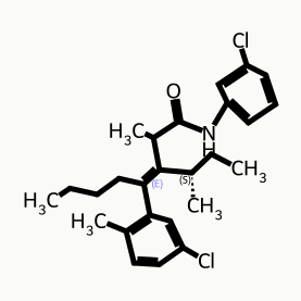 CCCC/C(=C(\C(C)C(=O)Nc1cccc(Cl)c1)[C@@H](C)CC)c1cc(Cl)ccc1C